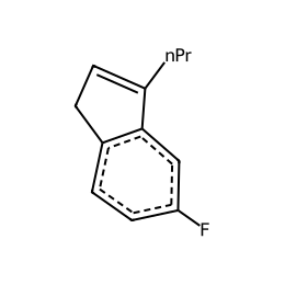 CCCC1=CCc2ccc(F)cc21